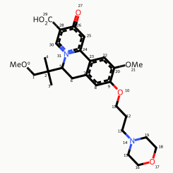 COCC(C)(C)C1Cc2cc(OCCCN3CCOCC3)c(OC)cc2-c2cc(=O)c(C(=O)O)cn21